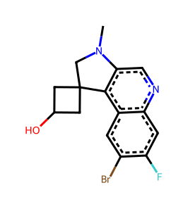 CN1CC2(CC(O)C2)c2c1cnc1cc(F)c(Br)cc21